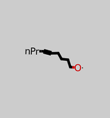 CCCC#CCCCC[O]